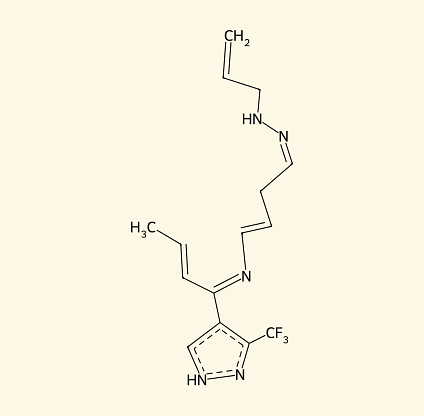 C=CCN/N=C\C/C=C/N=C(\C=C\C)c1c[nH]nc1C(F)(F)F